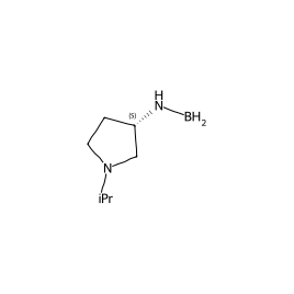 BN[C@H]1CCN(C(C)C)C1